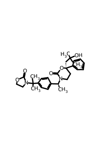 C[C@@H](c1ccc(C(C)(C)N2CCOC2=O)cc1)N1CC[C@](CC(C)(C)O)(c2ccccc2)OC1=O